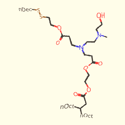 CCCCCCCCCCSSCCOC(=O)CCN(CCC(=O)OCCOC(=O)CC(CCCCCCCC)CCCCCCCC)CCN(C)CCO